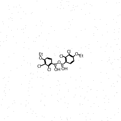 CCOc1ccc(B(O)OB(O)c2ccc(OCC)c(Cl)c2Cl)c(Cl)c1Cl